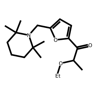 CCOC(C)C(=O)c1ccc(CN2C(C)(C)CCCC2(C)C)o1